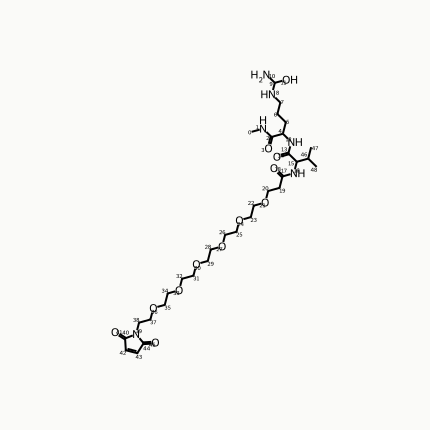 CNC(=O)C(CCCNC(N)O)NC(=O)C(NC(=O)CCOCCOCCOCCOCCOCCOCCN1C(=O)C=CC1=O)C(C)C